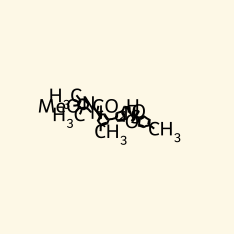 COc1c(C)cnc(CN(C(=O)O)c2cc(C)cc(-c3ccc4c(ccn4S(=O)(=O)c4ccc(C)cc4)c3)c2)c1C